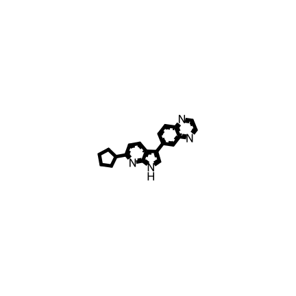 c1cnc2cc(-c3c[nH]c4nc(C5CCCC5)ccc34)ccc2n1